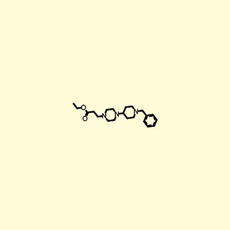 CCOC(=O)CCN1CCN(C2CCN(Cc3ccccc3)CC2)CC1